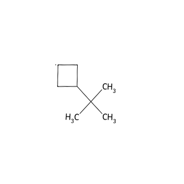 CC(C)(C)C1C[CH]C1